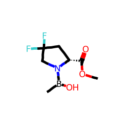 COC(=O)[C@H]1CC(F)(F)CN1B(C)O